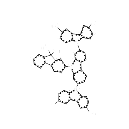 CC(C)(C)c1ccc2c(c1)c1cc(C(C)(C)C)ccc1n2-c1ccc2c3ccc(-n4c5ccc(C(C)(C)C)cc5c5cc(C(C)(C)C)ccc54)cc3n(-c3ccc4c(c3)C(C)(C)c3ccccc3-4)c2c1